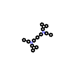 c1ccc(-c2ccc(N(c3ccc(-c4ccc(-c5ccc(N(c6ccc(-c7ccccc7)cc6)c6ccc7c8ccccc8c8ccccc8c7c6)cc5)cc4)cc3)c3ccc4c5ccccc5c5ccccc5c4c3)cc2)cc1